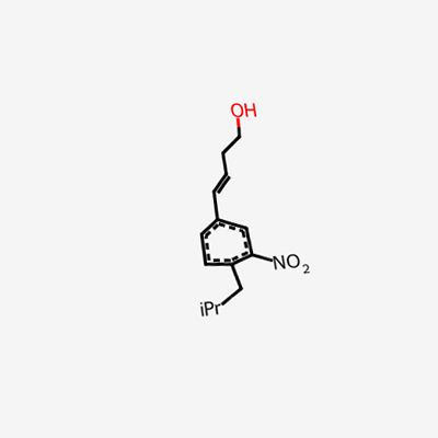 CC(C)Cc1ccc(C=CCCO)cc1[N+](=O)[O-]